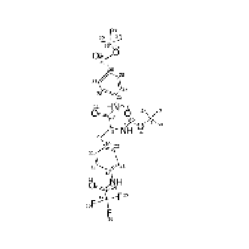 CC(C)(C)OC(=O)NC(Cc1ccc(NC(=O)C(F)(F)F)cc1)C(=O)Nc1ccc(C(=O)OC(C)(C)C)cc1